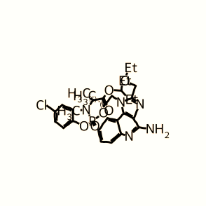 CCOCc1nc2c(N)nc3ccccc3c2n1C[C@@H](C)OP(=O)(Oc1ccc(Cl)cc1)N(C)[C@@H](C)C(=O)OC(CC)CC